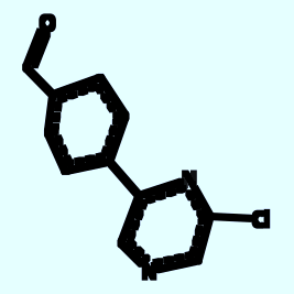 O=Cc1ccc(-c2cncc(Cl)n2)cc1